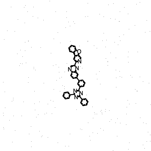 c1ccc(-c2nc(-c3ccccc3)nc(-c3cccc(-c4ccc5ncc(-c6cc7c(cn6)oc6ccccc67)nc5c4)c3)n2)cc1